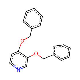 c1ccc(COc2ccncc2OCc2ccccc2)cc1